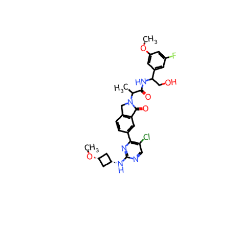 COc1cc(F)cc(C(CO)NC(=O)C(C)N2Cc3ccc(-c4nc(N[C@H]5C[C@@H](OC)C5)ncc4Cl)cc3C2=O)c1